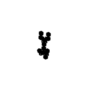 c1ccc(-c2cccc(-c3nc(-c4ccc(-c5ccc(-c6c7c(cc8c(-c9ccccc9)nc9ccccc9c68)oc6ccccc67)cc5)cc4)nc(-c4cccc(-c5ccccc5)c4)n3)c2)cc1